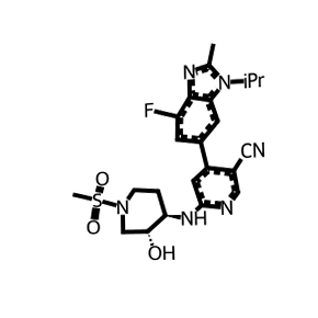 Cc1nc2c(F)cc(-c3cc(N[C@@H]4CCN(S(C)(=O)=O)C[C@H]4O)ncc3C#N)cc2n1C(C)C